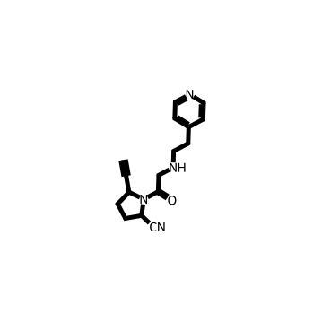 C#CC1CCC(C#N)N1C(=O)CNCCc1ccncc1